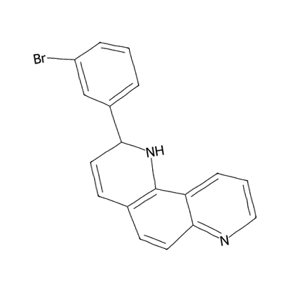 Brc1cccc(C2C=Cc3ccc4ncccc4c3N2)c1